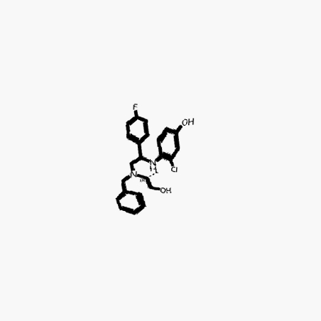 C[C@H](CO)N(Cc1ccccc1)CC(Nc1ccc(O)cc1Cl)c1ccc(F)cc1